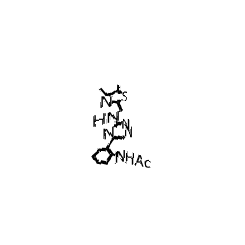 CC(=O)Nc1ccccc1-c1cnnc(NCc2nc(C)c(C)s2)n1